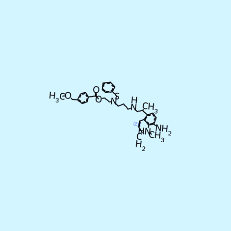 C=C/C=C\c1c(C(C)CNCCCN(CCOC(=O)c2ccc(COC)cc2)Sc2ccccc2)ccc(N)c1NC